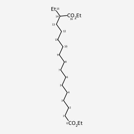 CCOC(=O)CCCCCCCCCCCCCC(CC)C(=O)OCC